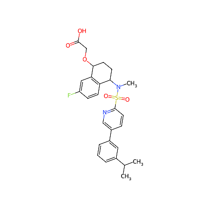 CC(C)c1cccc(-c2ccc(S(=O)(=O)N(C)C3CCC(OCC(=O)O)c4cc(F)ccc43)nc2)c1